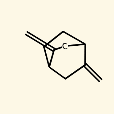 C=C1CC2CCC1CC2=C